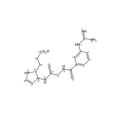 N=C(N)Nc1cccc(C(=O)NCC(=O)NN2C=CNC2CCC(=O)O)c1